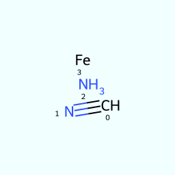 C#N.N.[Fe]